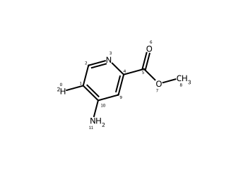 [2H]c1cnc(C(=O)OC)cc1N